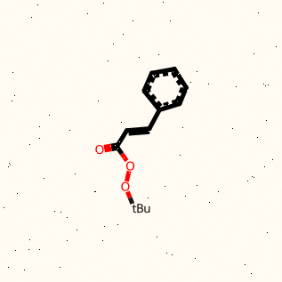 CC(C)(C)OOC(=O)C=Cc1ccccc1